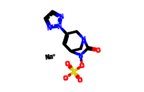 O=C1N2CC(n3nccn3)=CC(C2)N1OS(=O)(=O)[O-].[Na+]